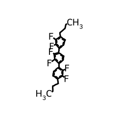 CCCCc1ccc(-c2ccc(-c3ccc(CCCC)c(F)c3F)c(F)c2F)c(F)c1F